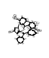 CC1C=C(C(C)(C)C)C=[C]1[Hf+2](=[C](c1ccccc1)c1ccccc1)[CH]1c2cc(C(C)(C)C)ccc2-c2ccc(C(C)(C)C)cc21.[Cl-].[Cl-]